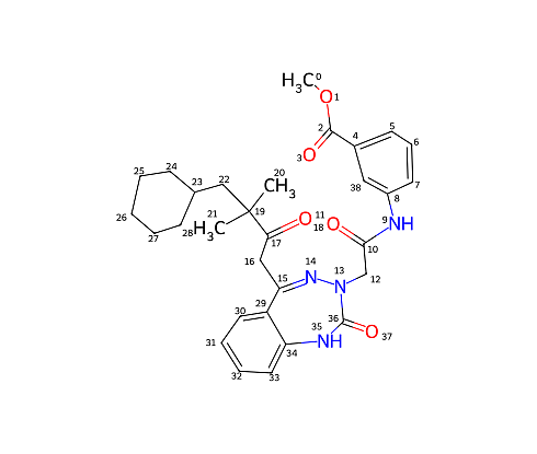 COC(=O)c1cccc(NC(=O)CN2N=C(CC(=O)C(C)(C)CC3CCCCC3)c3ccccc3NC2=O)c1